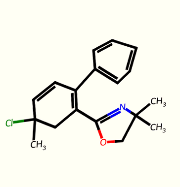 CC1(Cl)C=CC(c2ccccc2)=C(C2=NC(C)(C)CO2)C1